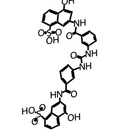 O=C(Nc1cccc(C(=O)Nc2cc(O)c3cccc(S(=O)(=O)O)c3c2)c1)Nc1cccc(C(=O)Nc2cc(O)c3cccc(S(=O)(=O)O)c3c2)c1